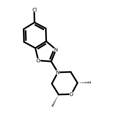 C[C@@H]1CN(c2nc3cc(Cl)ccc3o2)C[C@H](C)O1